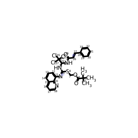 CC(C)(C)C(=O)OCS/C(=N/c1cccc2cccnc12)NC(NC(=O)/C=C/c1ccccc1)C(Cl)(Cl)Cl